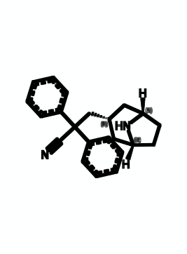 N#CC(C[C@H]1C[C@H]2CC[C@@H](C1)N2)(c1ccccc1)c1ccccc1